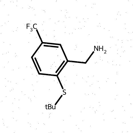 CC(C)(C)Sc1ccc(C(F)(F)F)cc1CN